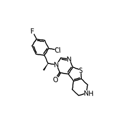 C[C@@H](c1ccc(F)cc1Cl)n1cnc2sc3c(c2c1=O)CCNC3